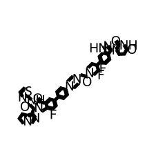 O=C1CCN(c2n[nH]c3cc(C4CCN(C(=O)CN5CCN(c6ccc(-c7cc(F)c8c(c7)C(=O)N(C(C(=O)Nc7nccs7)c7ncn9c7CCC9)C8)cc6)CC5)CC4(F)F)ccc23)C(=O)N1